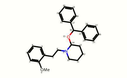 COc1ccccc1CCN1CCCCC1OC(c1ccccc1)c1ccccc1